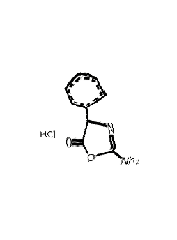 Cl.NC1=NC(c2ccccc2)C(=O)O1